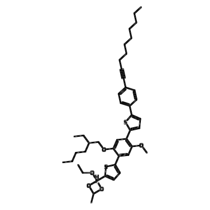 CCCCCCCCC#Cc1ccc(-c2ccc(-c3cc(OCC(CC)CCCC)c(-c4ccc([PH]5(OCC)OC(C)O5)s4)cc3OC)s2)cc1